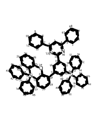 c1ccc(-c2cc(-c3ccccc3)nc(-c3cc(-c4cccc5c4Oc4ccccc4[Si]5(c4ccccc4)c4ccccc4)cc([Si](c4ccccc4)(c4ccccc4)c4ccccc4)c3)n2)cc1